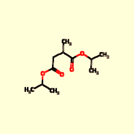 CC(C)OC(=O)CC(C)C(=O)OC(C)C